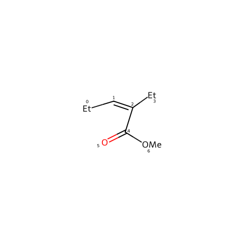 CC/C=C(/CC)C(=O)OC